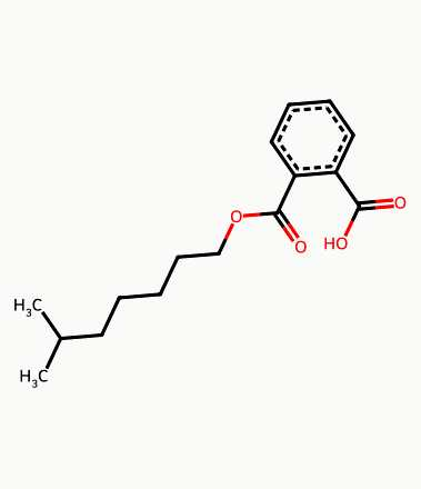 CC(C)CCCCCOC(=O)c1ccccc1C(=O)O